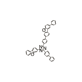 c1ccc(-c2ccc(-c3nc(-c4ccc(-c5ccc6c(c5)oc5ccc(-c7ccccc7)cc56)cc4)nc(-c4ccc5c(c4)oc4ccccc45)n3)cc2)cc1